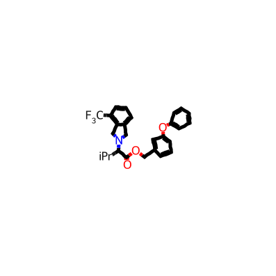 CC(C)C(C(=O)OCc1cccc(Oc2ccccc2)c1)N1Cc2cccc(C(F)(F)F)c2C1